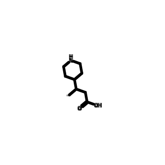 [CH2]C(CC(=O)O)C1CCNCC1